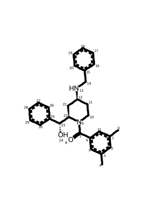 Cc1cc(C)cc(C(=O)N2CC[C@H](NCc3ccccc3)C[C@@H]2[C@H](O)c2ccccc2)c1